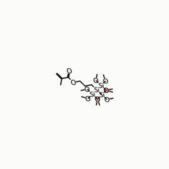 C=C(C)C(=O)OCCC[Si]([Si](OC)(OC)OC)([Si](OC)(OC)OC)[Si](OC)(OC)OC